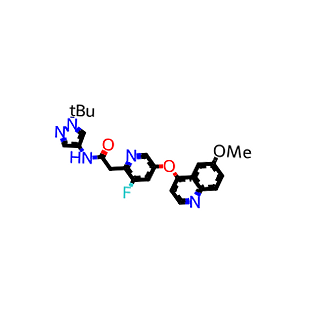 COc1ccc2nccc(Oc3cnc(CC(=O)Nc4cnn(C(C)(C)C)c4)c(F)c3)c2c1